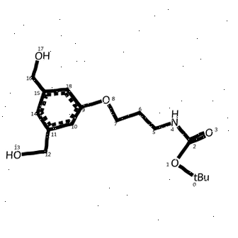 CC(C)(C)OC(=O)NCCCOc1cc(CO)cc(CO)c1